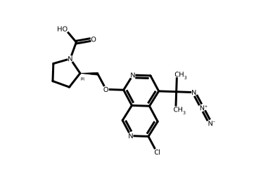 CC(C)(N=[N+]=[N-])c1cnc(OC[C@H]2CCCN2C(=O)O)c2cnc(Cl)cc12